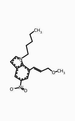 CCCCCn1ccc2cc([N+](=O)[O-])cc(C=CCOC)c21